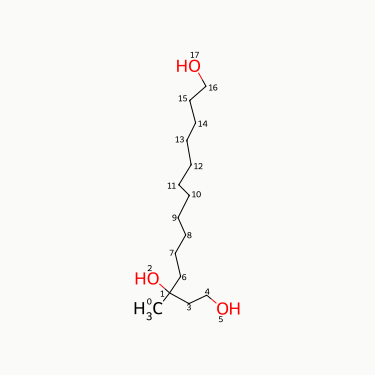 CC(O)(CCO)CCCCCCCCCCCO